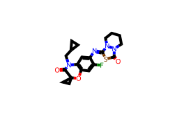 O=C1N(CC2CC2)c2cc(/N=c3\sc(=O)n4n3CCCC4)c(F)cc2OC12CC2